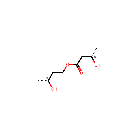 C[C@H](O)CC(=O)OCC[C@@H](C)O